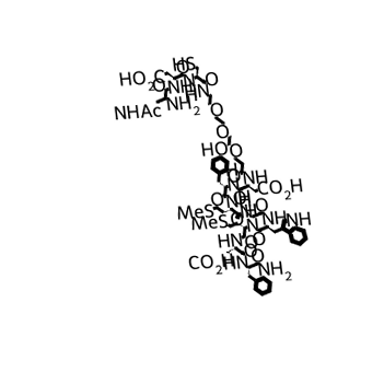 CSCC[C@H](NC(=O)[C@H](Cc1ccc(O)cc1)NC(=O)[C@H](CC(=O)O)NC(=O)CCOCCOCCOCCNC(=O)[C@H](CS)NC(=O)[C@H](CC(=O)O)NC(=O)[C@@H](N)CNC(C)=O)C(=O)NCC(=O)N[C@@H](Cc1c[nH]c2ccccc12)C(=O)N[C@@H](CCSC)C(=O)N[C@@H](CC(=O)O)C(=O)N[C@@H](Cc1ccccc1)C(N)=O